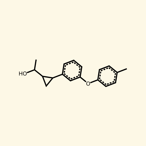 Cc1ccc(Oc2cccc(C3CC3C(C)O)c2)cc1